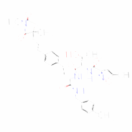 Cc1ccc(CNC(=O)[C@H](CCc2ccc(CCCC3(C)SC(=O)N(C)C3=O)cc2)NC(=O)[C@@H](NC(=O)c2cc(C)on2)[C@@H](C)O)cc1